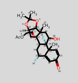 CC(=O)OCC(=O)[C@@]12OC(C)(C)O[C@@H]1CC1C3C[C@H](F)C4=CC(=O)C=CC4(C)[C@@]3(F)C(O)CC12C